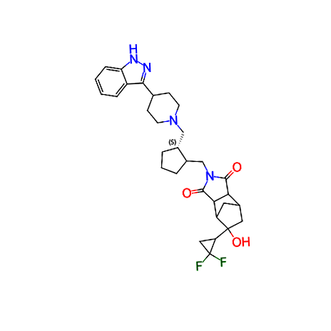 O=C1C2C3CC(C2C(=O)N1CC1CCC[C@@H]1CN1CCC(c2n[nH]c4ccccc24)CC1)C(O)(C1CC1(F)F)C3